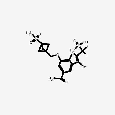 NC(=O)c1cc(OCC23CC(S(N)(=O)=O)(C2)C3)c2sc(C(F)(F)P(=O)(O)O)c(Br)c2c1